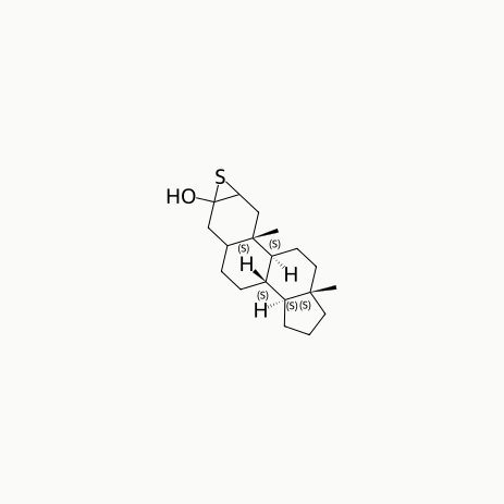 C[C@@]12CCC[C@H]1[C@@H]1CCC3CC4(O)SC4C[C@]3(C)[C@H]1CC2